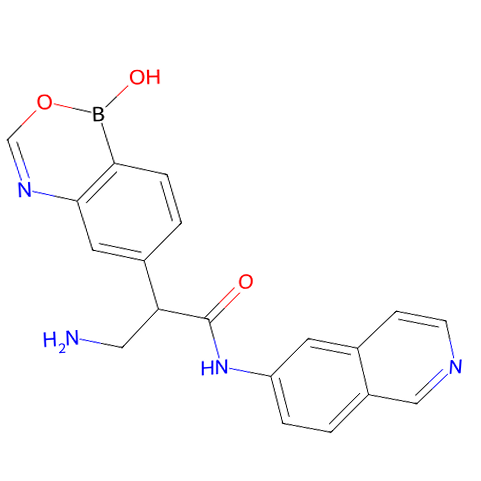 NCC(C(=O)Nc1ccc2cnccc2c1)c1ccc2c(c1)N=COB2O